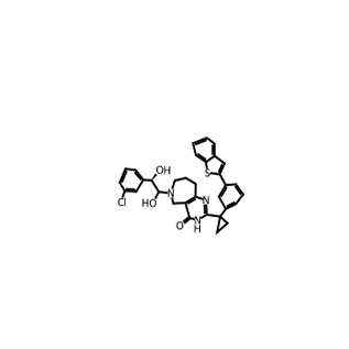 O=c1[nH]c(C2(c3cccc(-c4cc5ccccc5s4)c3)CC2)nc2c1CN(C(O)[C@H](O)c1cccc(Cl)c1)CCC2